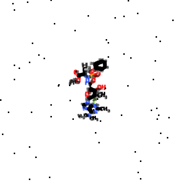 Cc1nc(N(C)C)c2ncn([C@@H]3O[C@H](COP(=O)(N[C@H](C)C(=O)OC(C)C)Oc4ccccc4)[C@@H](O)[C@@]3(C)F)c2n1